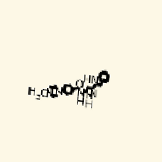 CN1CCN(c2ccc(C(=O)Nc3cc(-c4cc5ccccc5[nH]4)n[nH]3)cc2)CC1